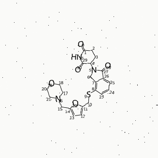 O=C1CCC(N2Cc3c(SCc4ccc(CN5CCOCC5)o4)cccc3C2=O)C(=O)N1